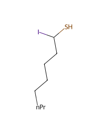 CCCCCCCC(S)I